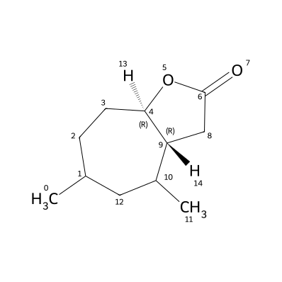 CC1CC[C@H]2OC(=O)C[C@@H]2C(C)C1